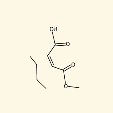 CCCC.COC(=O)/C=C\C(=O)O